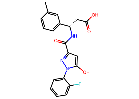 Cc1cccc([C@H](CC(=O)O)NC(=O)c2cc(O)n(-c3ccccc3F)n2)c1